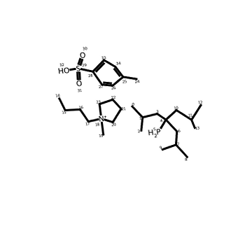 CC(C)CC(P)(CC(C)C)CC(C)C.CCCC[N+]1(C)CCCC1.Cc1ccc(S(=O)(=O)O)cc1